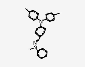 Cc1ccc(N(c2ccc(C)cc2)c2ccc(C=NN(C)c3ccccc3)cc2)cc1